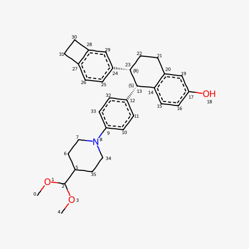 COC(OC)C1CCN(c2ccc([C@H]3c4ccc(O)cc4CC[C@H]3c3ccc4c(c3)CC4)cc2)CC1